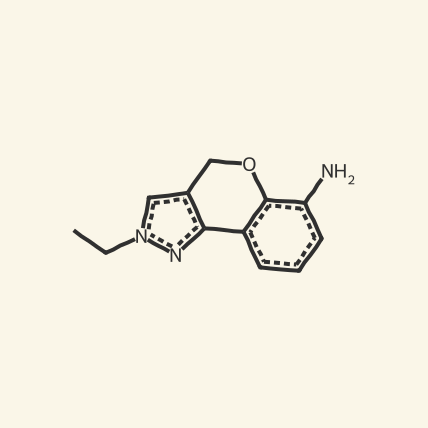 CCn1cc2c(n1)-c1cccc(N)c1OC2